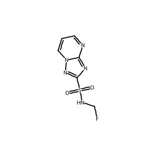 O=S(=O)(NCF)c1nc2ncccn2n1